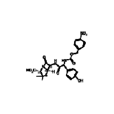 CC1(C)S[C@@H]2[C@H](NC(=O)C(NC(=O)OCc3ccc([N+](=O)[O-])cc3)c3ccc(O)cc3)C(=O)N2[C@H]1C(=O)O